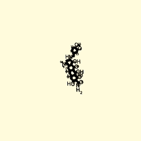 CN(C)c1cc(NCc2ccc3c(c2)OCO3)c(O)c2c1C[C@H]1C[C@H]3CC(O)=C(C(N)=O)C(=O)[C@@]3(O)C(O)=C1C2=O